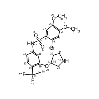 COc1cc(Br)c(S(=O)(=O)Nc2ccc(C(F)(F)F)c(O[C@@H]3CCNC3)c2)cc1OC